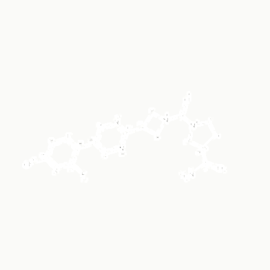 NC(=O)[C@H]1CCN(C(=O)N2CC(c3ncc(-c4ccc(Cl)cc4F)cn3)C2)C1